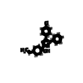 C=CC1CCC(O)(c2cc(-c3ccc(Cl)cc3)n(-c3ccccc3)n2)CC1